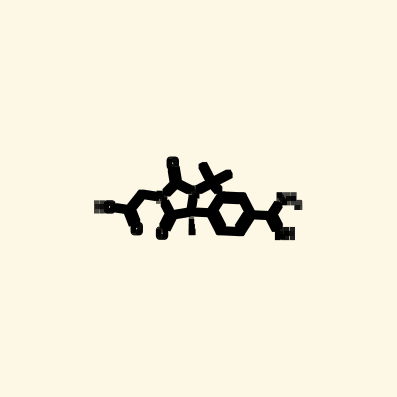 CC(C)(C)N1C(=O)N(CC(=O)O)C(=O)[C@]1(C)c1ccc(C(=N)N)cc1